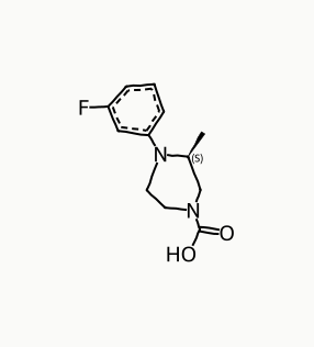 C[C@H]1CN(C(=O)O)CCN1c1cccc(F)c1